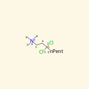 CCCCCC(Cl)(Cl)CC[N+](C)(C)C